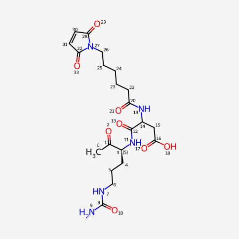 CC(=O)[C@H](CCCNC(N)=O)NC(=O)C(CC(=O)O)NC(=O)CCCCCN1C(=O)C=CC1=O